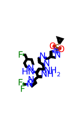 NC1(c2ccnc(-c3cnn(S(=O)(=O)C4CC4)c3)n2)C=C(NN2CCC(CF)CC2)C(c2ccn(C(F)F)n2)=CN1